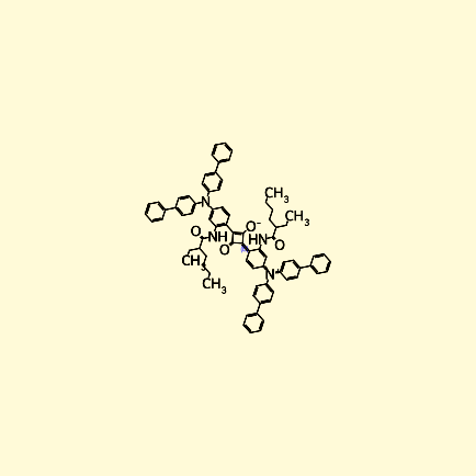 CCCCC(CC)C(=O)NC1=CC(=[N+](c2ccc(-c3ccccc3)cc2)c2ccc(-c3ccccc3)cc2)C=C/C1=C1\C(=O)C(c2ccc(N(c3ccc(-c4ccccc4)cc3)c3ccc(-c4ccccc4)cc3)cc2NC(=O)C(CC)CCCC)=C1[O-]